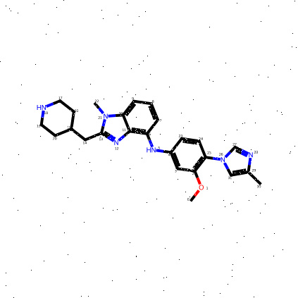 COc1cc(Nc2cccc3c2nc(CC2CCNCC2)n3C)ccc1-n1cnc(C)c1